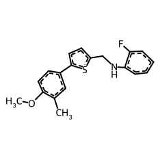 COc1ccc(-c2ccc(CNc3ccccc3F)s2)cc1C